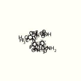 CC1(C)CC(=O)c2c(C(F)(F)F)cn(-c3cc(F)c(C(N)=O)c(NC4CCCCC4OC(=O)CN)c3)c2C1.CS(=O)(=O)O